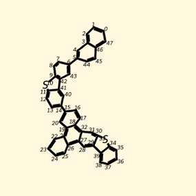 c1ccc2cc(-c3ccc4sc5ccc(-c6ccc7c(c6)c6ccccc6c6cc8c(cc76)sc6ccccc68)cc5c4c3)ccc2c1